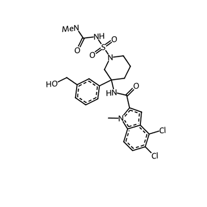 CNC(=O)NS(=O)(=O)N1CCCC(NC(=O)c2cc3c(Cl)c(Cl)ccc3n2C)(c2cccc(CO)c2)C1